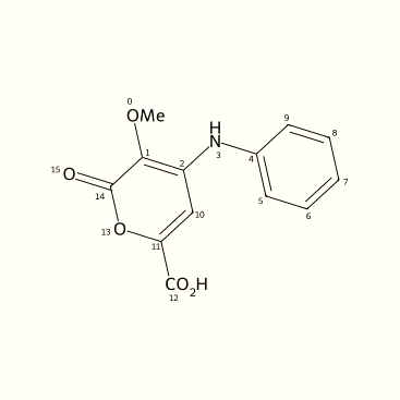 COc1c(Nc2ccccc2)cc(C(=O)O)oc1=O